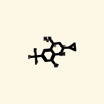 N[C@H]1C[C@@H](C2CC2)Nc2c(Br)cc(C(F)(F)F)cc21